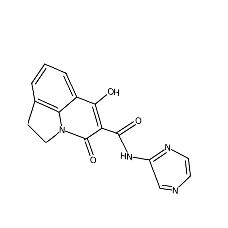 O=C(Nc1cnccn1)c1c(O)c2cccc3c2n(c1=O)CC3